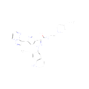 CCOC(=O)C1CCN(CCNC(=O)c2nn(-c3cc4c(cc3OC)NCCC4)c3cc(-c4cnn5cccnc45)ncc23)CC1